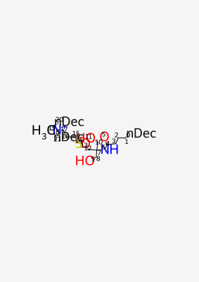 CCCCCCCCCCCCCC(=O)NC(CO)(CO)COSCCC[N+](C)(CCCCCCCCCC)CCCCCCCCCC